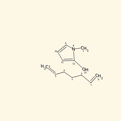 C=CCCCC=C.Cn1cccc1O